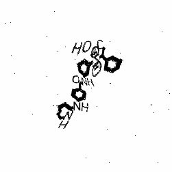 O=C(O)CC(c1ccccc1)S(=O)(=O)c1cccc(NC(=O)c2ccc(NC3=CCCCN3)cc2)c1